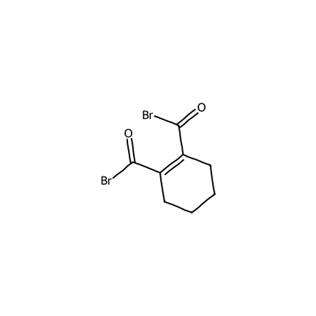 O=C(Br)C1=C(C(=O)Br)CCCC1